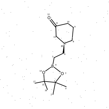 CC1(C)OB(CC[C@@H]2CCCC(=O)C2)OC1(C)C